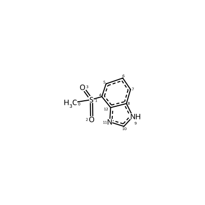 CS(=O)(=O)c1cccc2[nH]cnc12